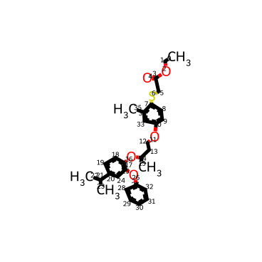 CCOC(=O)CSc1ccc(OCCC(C)Oc2ccc(C(C)C)cc2Oc2ccccc2)cc1C